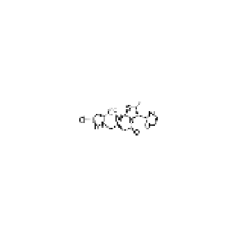 Cc1sc2nc(Cn3nc(Cl)cc3C(F)(F)F)cc(=O)n2c1-c1ncco1